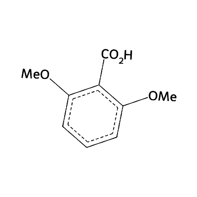 COc1cccc(OC)c1C(=O)O